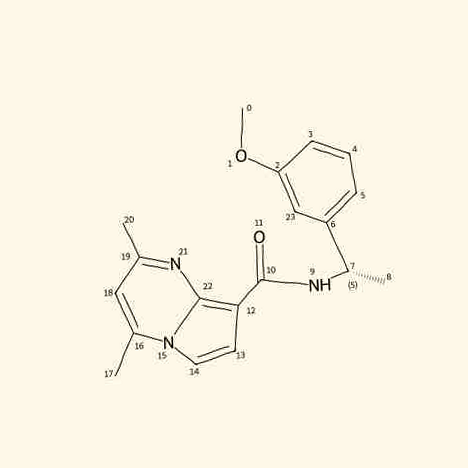 COc1cccc([C@H](C)NC(=O)c2ccn3c(C)cc(C)nc23)c1